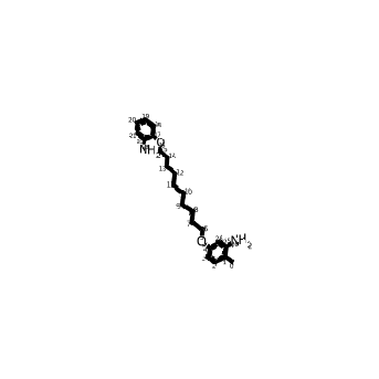 Cc1ccc(OCCCCCCCCCCOc2ccccc2N)cc1N